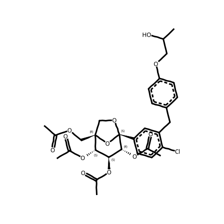 CC(=O)OC[C@@]12CO[C@@](c3ccc(Cl)c(Cc4ccc(OCC(C)O)cc4)c3)(O1)[C@H](OC(C)=O)[C@@H](OC(C)=O)[C@@H]2OC(C)=O